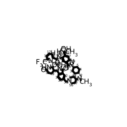 CN(C[C@H]1CC[C@H](n2cc3cc(NC(=O)c4cccc(C(F)(F)F)n4)c(C(C)(C)O)cc3n2)CC1)C1CCN(Cc2ccc3c(c2)C(=O)N(C)C3C2CCC(=O)NC2=O)CC1